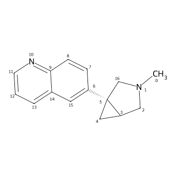 CN1CC2C[C@@]2(c2ccc3ncccc3c2)C1